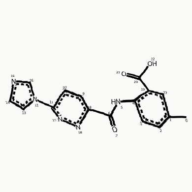 Cc1ccc(NC(=O)c2ccc(-n3ccnc3)nn2)c(C(=O)O)c1